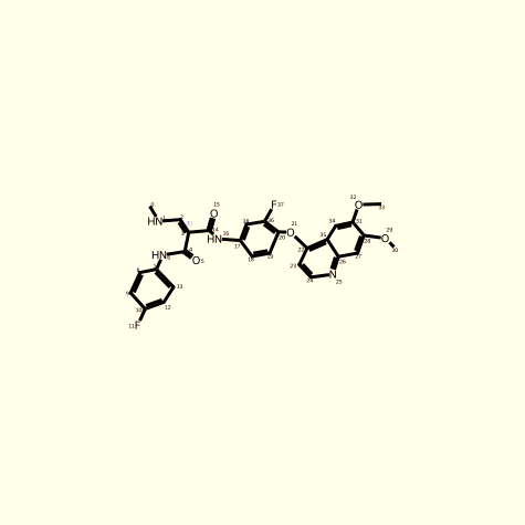 CN/C=C(\C(=O)Nc1ccc(F)cc1)C(=O)Nc1ccc(Oc2ccnc3cc(OC)c(OC)cc23)c(F)c1